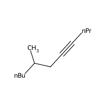 [CH2]CCC#CCC(C)CCC[CH2]